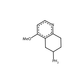 COc1ccnc2c1CC(P)CC2